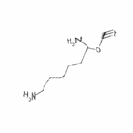 CCOC(N)CCCCCN